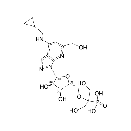 O=P(O)(O)C(CO)(CO)OC[C@H]1O[C@@H](n2ncc3c(NCC4CC4)cc(CO)nc32)[C@H](O)[C@@H]1O